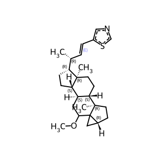 COC1C[C@H]2[C@@H]3CC[C@H]([C@H](C)/C=C/c4cncs4)[C@@]3(C)CC[C@@H]2[C@@]2(C)CC[C@@H]3CC132